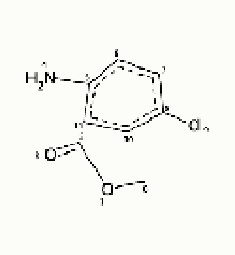 COC=O.Nc1ccc(Cl)cc1